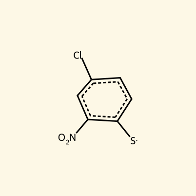 O=[N+]([O-])c1cc(Cl)ccc1[S]